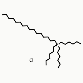 CCCCCCCCCCCCCCCC[P+](CCCCCC)(CCCCCC)CCCCCC.[Cl-]